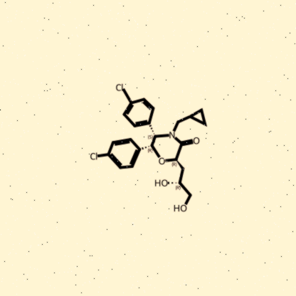 O=C1[C@@H](C[C@@H](O)CO)O[C@H](c2ccc(Cl)cc2)[C@H](c2ccc(Cl)cc2)N1CC1CC1